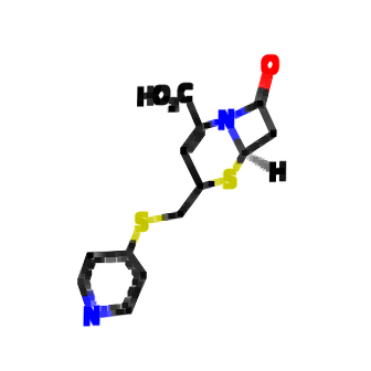 O=C(O)C1=CC(CSc2ccncc2)S[C@@H]2CC(=O)N12